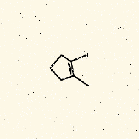 CC1=C(I)CCC1